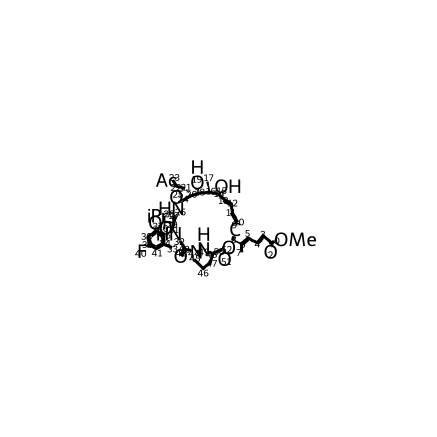 COC(=O)/C=C/C=C(\C)[C@@H]1C/C=C/C=C/[C@H](O)[C@H](C)[C@@H](O)[C@@H](CCC(C)=O)C(=O)N[C@@H](C(C)C)C(=O)N[C@@H](Cc2cc(O)cc(F)c2)C(=O)N2CCCC(N2)C(=O)O1